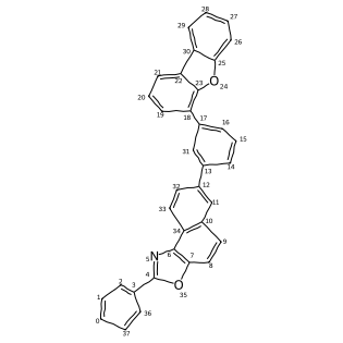 c1ccc(-c2nc3c(ccc4cc(-c5cccc(-c6cccc7c6oc6ccccc67)c5)ccc43)o2)cc1